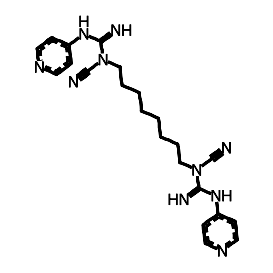 N#CN(CCCCCCCCN(C#N)C(=N)Nc1ccncc1)C(=N)Nc1ccncc1